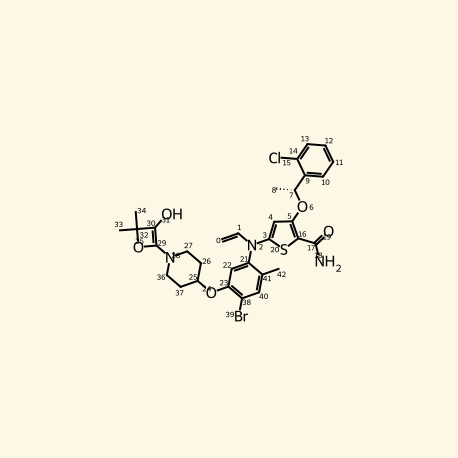 C=CN(c1cc(O[C@H](C)c2ccccc2Cl)c(C(N)=O)s1)c1cc(OC2CCN(C3=C(O)C(C)(C)O3)CC2)c(Br)cc1C